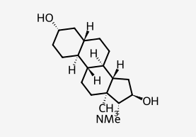 CN[C@H]1[C@H](O)C[C@H]2[C@@H]3CC[C@H]4C[C@@H](O)CC[C@@H]4[C@H]3CC[C@@]21C